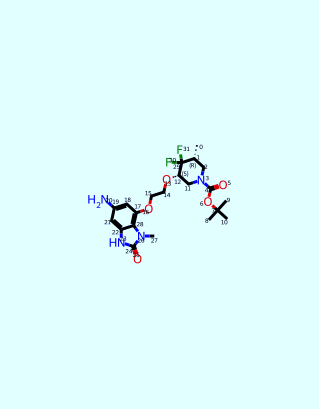 C[C@@H]1CN(C(=O)OC(C)(C)C)C[C@H](OCCOc2cc(N)cc3[nH]c(=O)n(C)c23)C1(F)F